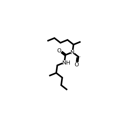 CCCCC(C)N([C]=O)C(=O)NCC(C)CCC